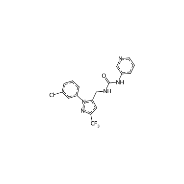 O=C(NCc1cc(C(F)(F)F)nn1-c1cccc(Cl)c1)Nc1cccnc1